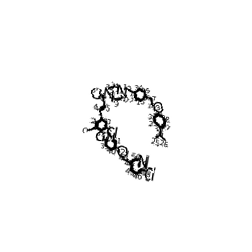 Cc1cc(/C=C/C(=O)N2CCN(Cc3ccc(CCOc4ccc(C(C)C)cc4)cc3)CC2)cc(Cl)c1Oc1ccc(OCc2ccc(Cl)nc2)cn1